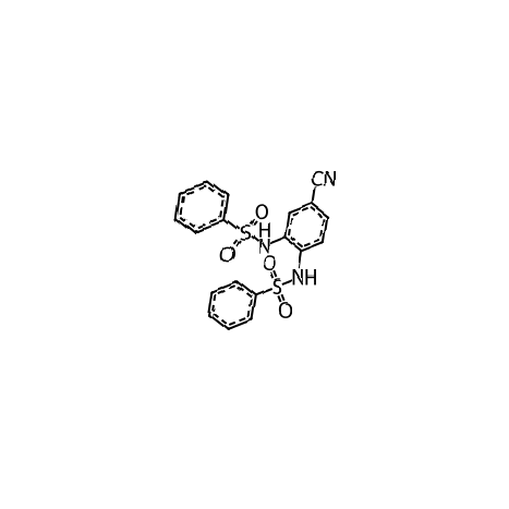 N#Cc1ccc(NS(=O)(=O)c2ccccc2)c(NS(=O)(=O)c2ccccc2)c1